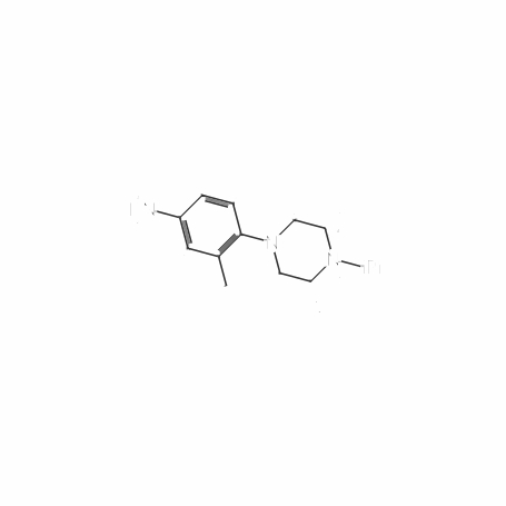 Cc1cc(N)ccc1N1C[C@@H](C)N(C(C)C)[C@@H](C)C1